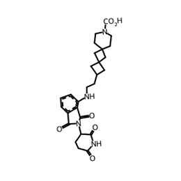 O=C1CCC(N2C(=O)c3cccc(NCCC4CC5(C4)CC4(CCN(C(=O)O)CC4)C5)c3C2=O)C(=O)N1